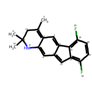 CC1=c2cc3c(cc2NC(C)(C)C1)=Cc1c(F)ccc(F)c1-3